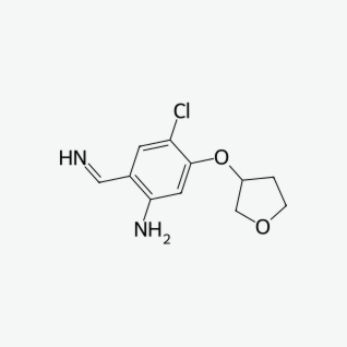 N=Cc1cc(Cl)c(OC2CCOC2)cc1N